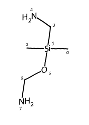 C[Si](C)(CN)OCN